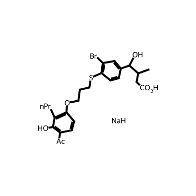 CCCc1c(OCCCSc2ccc(C(O)C(C)CC(=O)O)cc2Br)ccc(C(C)=O)c1O.[NaH]